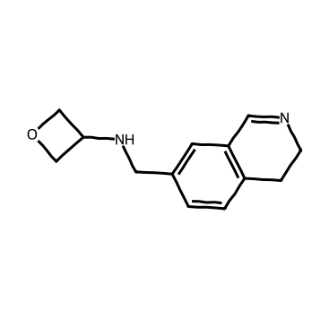 C1=NCCc2ccc(CNC3COC3)cc21